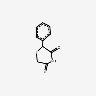 O=C1CSC(c2ccccc2)C(=O)N1